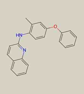 Cc1cc(Oc2ccccc2)ccc1Nc1ccc2ccccc2n1